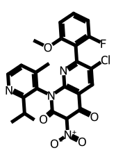 COc1cccc(F)c1-c1nc2c(cc1Cl)C(=O)C([N+](=O)[O-])C(=O)N2c1c(C)ccnc1C(C)C